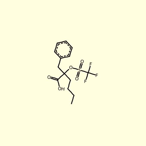 CCCCC(Cc1ccccc1)(OS(=O)(=O)C(F)(F)F)C(=O)O